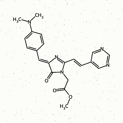 COC(=O)CN1C(=O)/C(=C/c2ccc(N(C)C)cc2)N=C1/C=C/c1cncnc1